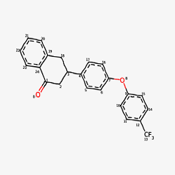 O=C1CC(c2ccc(Oc3ccc(C(F)(F)F)cc3)cc2)Cc2ccccc21